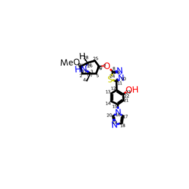 CO[C@@H]1C[C@@]2(C)C[C@H](Oc3nnc(-c4ccc(-n5ccnc5)cc4O)s3)C[C@@H]1N2